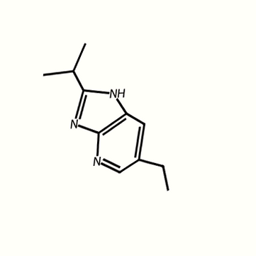 CCc1cnc2nc(C(C)C)[nH]c2c1